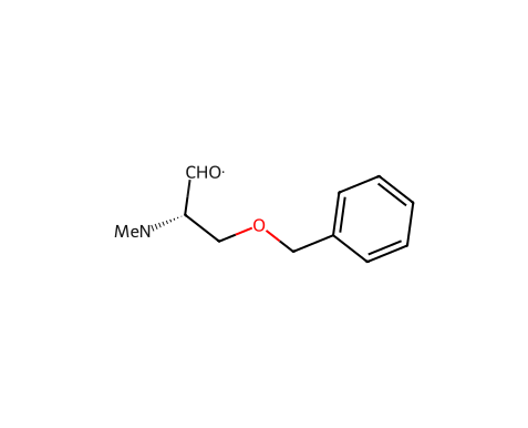 CN[C@H]([C]=O)COCc1ccccc1